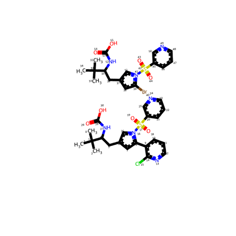 CC(C)(C)C(Cc1cc(-c2cccnc2Cl)n(S(=O)(=O)c2cccnc2)c1)NC(=O)O.CC(C)(C)C(Cc1cc(Br)n(S(=O)(=O)c2cccnc2)c1)NC(=O)O